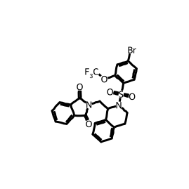 O=C1c2ccccc2C(=O)N1CC1c2ccccc2CCN1S(=O)(=O)c1ccc(Br)cc1OC(F)(F)F